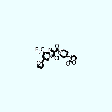 O=C(c1nc2c(C(F)(F)F)cc(C3CC=CO3)cn2c1Cl)N1CCC(N2CCOC2=O)CC1